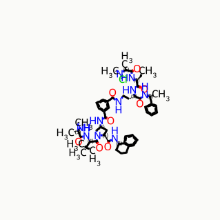 CC[C@H](NC(=O)[C@H](C)N(C)Cl)C(=O)N[C@@H](CCNC(=O)c1cccc(C(=O)N[C@H]2C[C@@H](C(=O)N[C@@H]3CCCc4ccccc43)N(C(=O)[C@@H](NC(=O)[C@H](C)NC)C(C)(C)C)C2)c1)C(=O)N[C@H](C)c1ccccc1